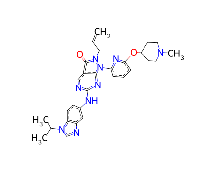 C=CCn1c(=O)c2cnc(Nc3ccc4c(c3)ncn4C(C)C)nc2n1-c1cccc(OC2CCN(C)CC2)n1